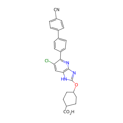 N#Cc1ccc(-c2ccc(-c3nc4nc(OC5CCC(C(=O)O)CC5)[nH]c4cc3Cl)cc2)cc1